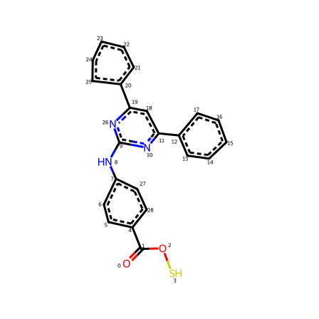 O=C(OS)c1ccc(Nc2nc(-c3ccccc3)cc(-c3ccccc3)n2)cc1